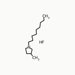 CCCCCCCCCN1CCC(C)C1.F